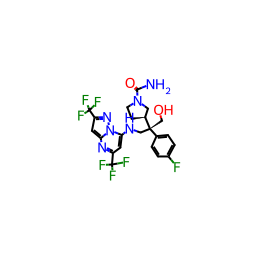 NC(=O)N1CC[C@H]([C@@](CO)(CNc2cc(C(F)(F)F)nc3cc(C(F)(F)F)nn23)c2ccc(F)cc2)C1